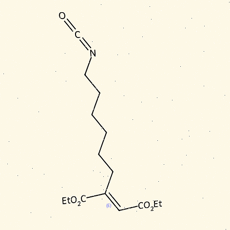 CCOC(=O)/C=C(\CCCCCCN=C=O)C(=O)OCC